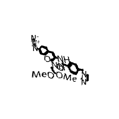 COC(CNC(=O)/C(=C\c1ccc(N=[N+]=[N-])cc1)NC(=O)c1ccc(Cn2ccnc2)cc1)OC